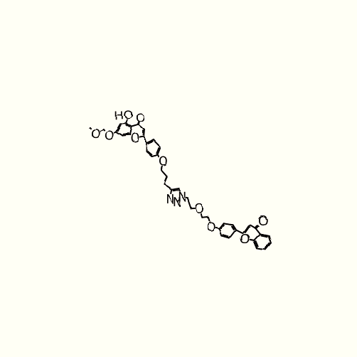 COCOc1cc(O)c2c(=O)cc(-c3ccc(OCCCc4cn(CCOCCOc5ccc(-c6cc(=O)c7ccccc7o6)cc5)nn4)cc3)oc2c1